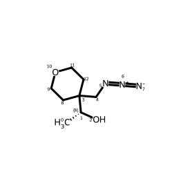 C[C@@H](O)C1(CN=[N+]=[N-])CCOCC1